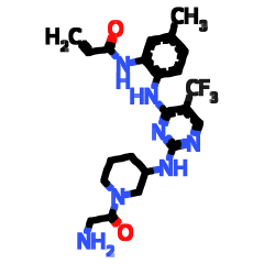 C=CC(=O)Nc1cc(C)ccc1Nc1nc(NC2CCCN(C(=O)CN)C2)ncc1C(F)(F)F